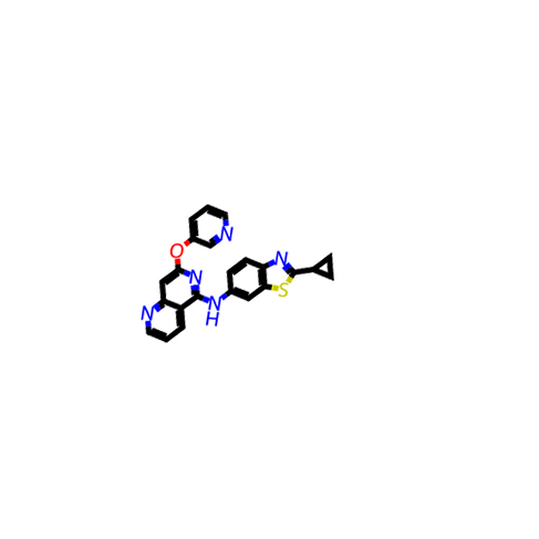 c1cncc(Oc2cc3ncccc3c(Nc3ccc4nc(C5CC5)sc4c3)n2)c1